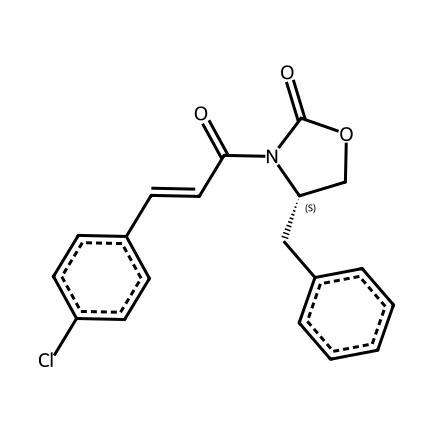 O=C(C=Cc1ccc(Cl)cc1)N1C(=O)OC[C@@H]1Cc1ccccc1